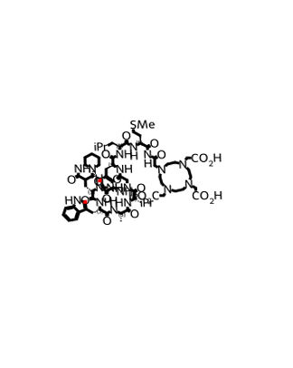 CSCC[C@H](NC(=O)[C@H](CC(C)C)NC(=O)[C@H](Cc1c[nH]cn1)NC(=O)CNC(=O)[C@@H](NC(=O)[C@H](C)NC(=O)[C@H](Cc1c[nH]c2ccccc12)NC(=O)[C@H](CC(C(N)=O)C(=O)N1CCCCC1)NC(=O)CN)C(C)C)C(=O)NC(=O)CN1CCN(CC(=O)O)CCN(CC(=O)O)CCN(CC(=O)O)CC1